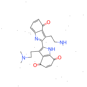 CNCCC1=C2C(=O)C=CC=C2N=C1c1[nH]c2c(c1CCN(C)C)C(=O)C=CC2=O